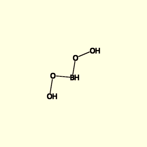 OOBOO